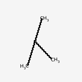 CCCCCCCCCCCCCCCCCCCN(CCCCCCCCCCCCCCCCCCC)CCCCCCCCCCCCCCCCCCC